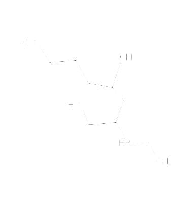 CCBC(CC)CC(C)CCCC